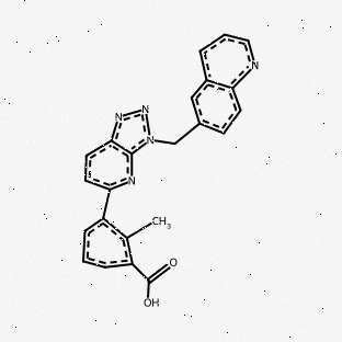 Cc1c(C(=O)O)cccc1-c1ccc2nnn(Cc3ccc4ncccc4c3)c2n1